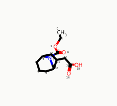 CCOC(=O)N1C2CCCC1C(CC(=O)O)C2